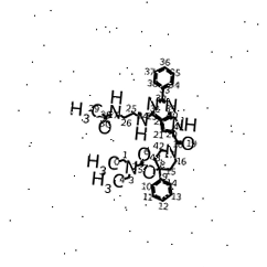 CCN(CC)C(=O)OC1(c2ccccc2)CCN(C(=O)c2cc3c(NCCNC(C)=O)nc(-c4ccccc4)nc3[nH]2)CC1